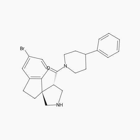 O=C([C@@H]1CNC[C@]12CCc1cc(Br)ccc12)N1CCC(c2ccccc2)CC1